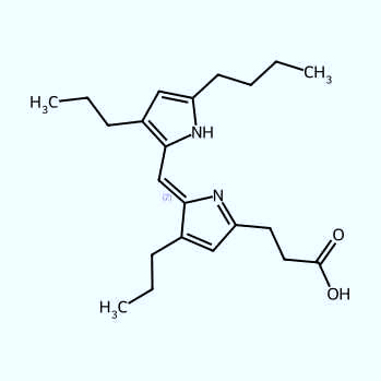 CCCCc1cc(CCC)c(/C=C2\N=C(CCC(=O)O)C=C2CCC)[nH]1